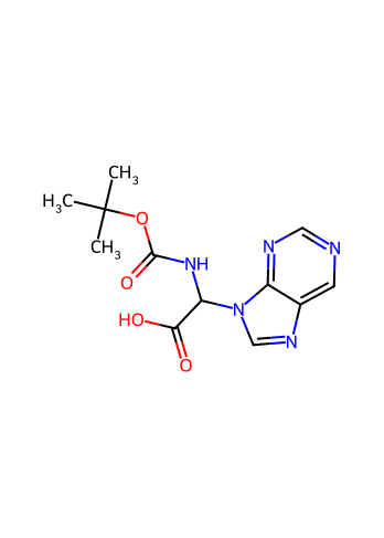 CC(C)(C)OC(=O)NC(C(=O)O)n1cnc2cncnc21